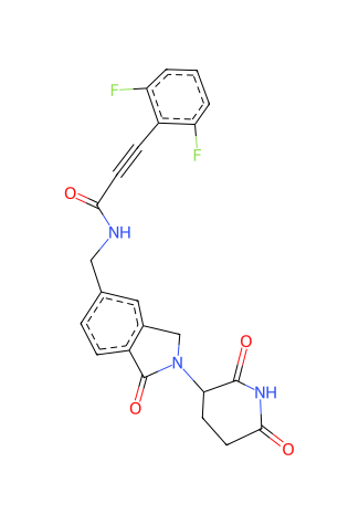 O=C(C#Cc1c(F)cccc1F)NCc1ccc2c(c1)CN(C1CCC(=O)NC1=O)C2=O